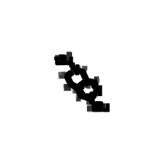 CC(C)(C)c1cc2c(cn1)CN(C(C)(C)C)CC2